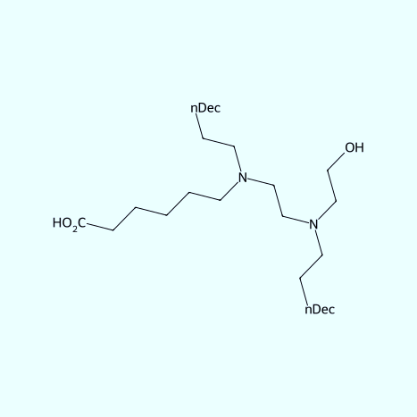 CCCCCCCCCCCCN(CCO)CCN(CCCCCCCCCCCC)CCCCCC(=O)O